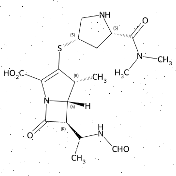 CC(NC=O)[C@H]1C(=O)N2C(C(=O)O)=C(S[C@@H]3CN[C@H](C(=O)N(C)C)C3)[C@H](C)[C@H]12